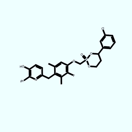 Cc1cc(OCP2(=O)OCCC(c3cccc(Cl)c3)O2)c(F)c(C)c1Cc1ccc(O)c(C(C)C)n1